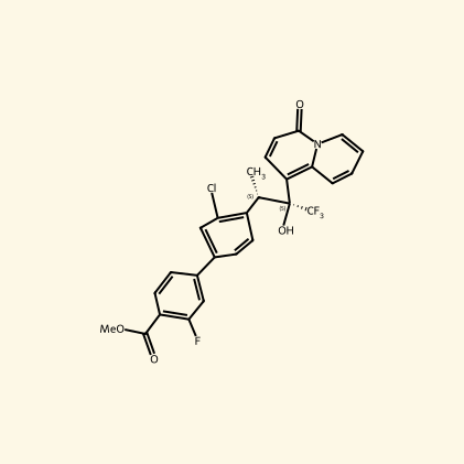 COC(=O)c1ccc(-c2ccc([C@H](C)[C@](O)(c3ccc(=O)n4ccccc34)C(F)(F)F)c(Cl)c2)cc1F